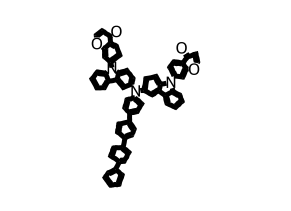 O=c1ccoc2cc(-n3c4ccccc4c4cc(N(c5ccc(-c6ccc(-c7ccc(-c8ccccc8)cc7)cc6)cc5)c5ccc6c(c5)c5ccccc5n6-c5ccc6c(=O)ccoc6c5)ccc43)ccc12